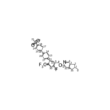 CC1Cc2cnc(OCc3cc(-c4ccc(-c5ccc(S(C)(=O)=O)cc5)cc4)c(C(F)(F)F)cc3F)cc2C1